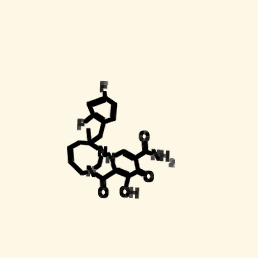 CC1(Cc2ccc(F)cc2F)CC=CCN2CN1n1cc(C(N)=O)c(=O)c(O)c1C2=O